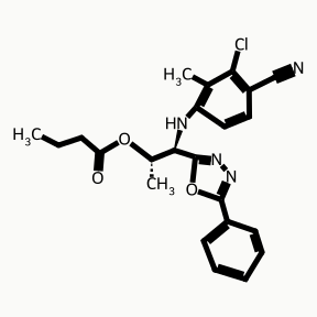 CCCC(=O)O[C@@H](C)[C@@H](Nc1ccc(C#N)c(Cl)c1C)c1nnc(-c2ccccc2)o1